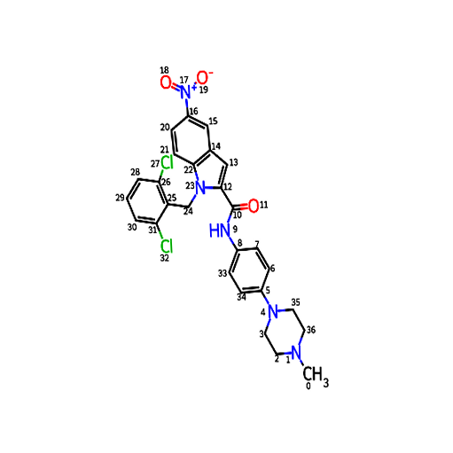 CN1CCN(c2ccc(NC(=O)c3cc4cc([N+](=O)[O-])ccc4n3Cc3c(Cl)cccc3Cl)cc2)CC1